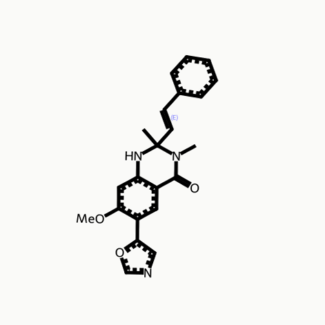 COc1cc2c(cc1-c1cnco1)C(=O)N(C)C(C)(/C=C/c1ccccc1)N2